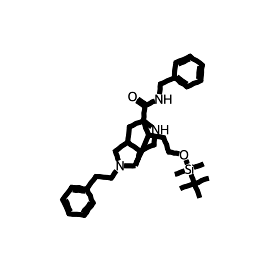 CC(C)(C)[Si](C)(C)OCCC1C2C3CNC1(C(=O)NCc1ccccc1)CC3CN2CCc1ccccc1